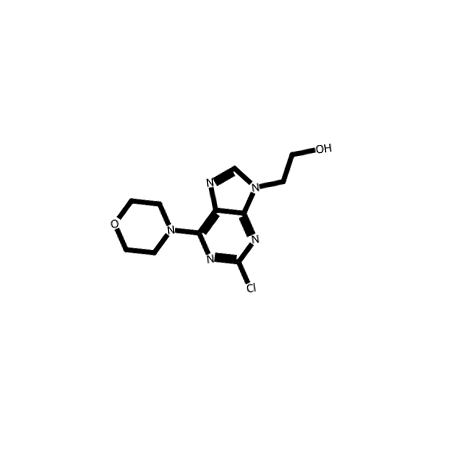 OCCn1cnc2c(N3CCOCC3)nc(Cl)nc21